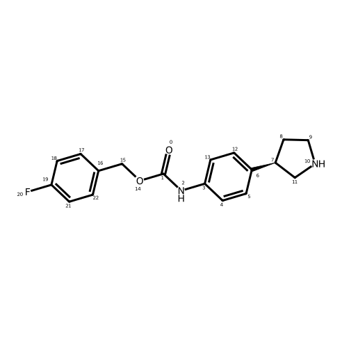 O=C(Nc1ccc([C@H]2CCNC2)cc1)OCc1ccc(F)cc1